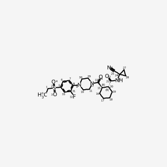 CCS(=O)(=O)c1ccc(N2CCN(C(=O)[C@@H]3CCCC[C@H]3C(=O)NC3(C#N)CC3)CC2)c(F)c1